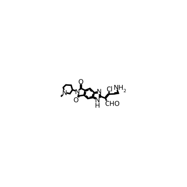 CN1CCCC(N2C(=O)c3cc4nc(/C(C=O)=C(Cl)/C=C\N)[nH]c4cc3C2=O)C1